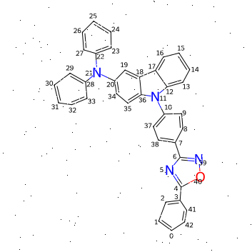 c1ccc(-c2nc(-c3ccc(-n4c5ccccc5c5cc(N(c6ccccc6)c6ccccc6)ccc54)cc3)no2)cc1